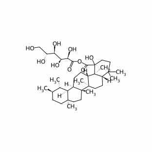 C[C@@H]1[C@H]2[C@H]3CC[C@@H]4[C@]5(C)[C@@H](CC[C@@]4(C)[C@]3(C)CC[C@@]2(C)CC[C@H]1C)C(C)(C)CCC5(O)C(=O)OC(=O)[C@H](O)[C@@H](O)[C@H](O)[C@H](O)CO